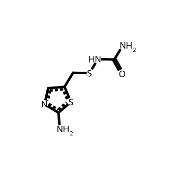 NC(=O)NSCc1cnc(N)s1